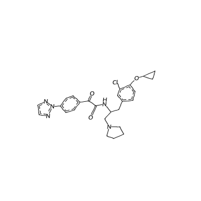 O=C(NC(Cc1ccc(OC2CC2)c(Cl)c1)CN1CCCC1)C(=O)c1ccc(-n2nccn2)cc1